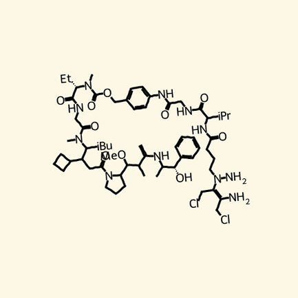 C=C(NC(C)[C@@H](O)c1ccccc1)C(C)C(OC)C1CCCN1C(=O)CC(C1CCC1)C(C(C)CC)N(C)C(=O)CNC(=O)[C@H](CC)N(C)C(=O)OCc1ccc(NC(=O)CNC(=O)C(NC(=O)CCCN(N)/C(CCl)=C(\N)CCl)C(C)C)cc1